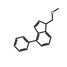 COCC1C=Cc2c(-c3ccccc3)cccc21